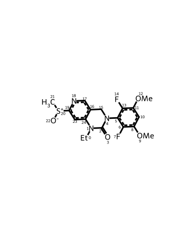 CCN1C(=O)N(c2c(F)c(OC)cc(OC)c2F)Cc2cnc([S+](C)[O-])cc21